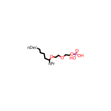 CCCCCCCCCCCCCCC(CCC)OCCOCCOP(=O)(O)O